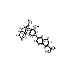 COc1c(O)cc(-c2ccc3cc(C(=O)O)ccc3c2)cc1C12CC3CC(CC(C3)C1)C2